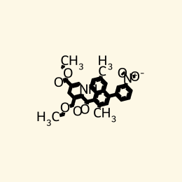 CCOC(=O)C1=CNC(C(=O)c2c(C)cc(-c3cccc([N+](=O)[O-])c3)c3cc(C)ccc23)=C(C(=O)OCC)C1